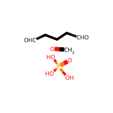 C=O.O=CCCCC=O.O=P(O)(O)O